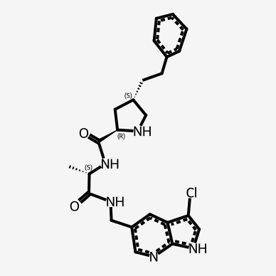 C[C@H](NC(=O)[C@H]1C[C@H](CCc2ccccc2)CN1)C(=O)NCc1cnc2[nH]cc(Cl)c2c1